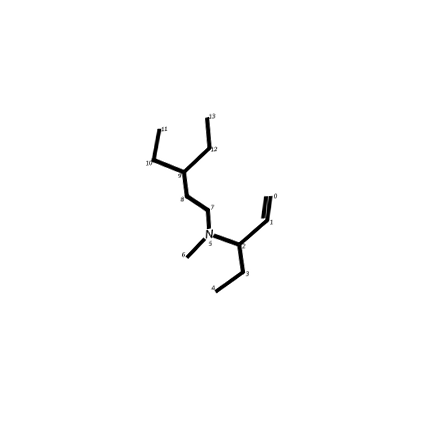 C=CC(CC)N(C)CCC(CC)CC